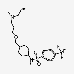 C=CCN(C)CCCOCC1CCC(N(C)S(=O)(=O)c2ccc(C(F)(F)F)cc2)CC1